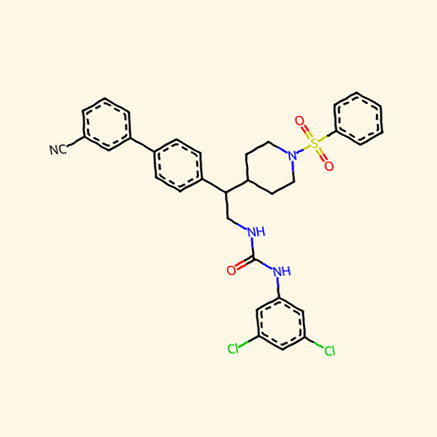 N#Cc1cccc(-c2ccc(C(CNC(=O)Nc3cc(Cl)cc(Cl)c3)C3CCN(S(=O)(=O)c4ccccc4)CC3)cc2)c1